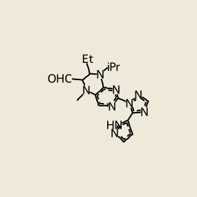 CCC1C(C=O)N(C)c2cnc(-n3ncnc3-c3ccn[nH]3)nc2N1C(C)C